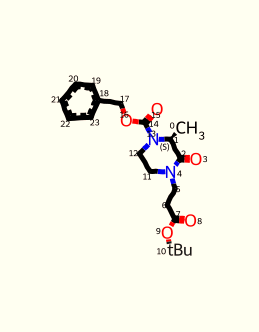 C[C@H]1C(=O)N(CCC(=O)OC(C)(C)C)CCN1C(=O)OCc1ccccc1